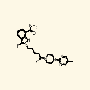 Cc1cnc(N2CCN(C(=O)CCCCn3nc4c(C(N)=O)cccc4c3F)CC2)nc1